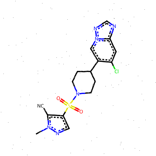 Cn1ncc(S(=O)(=O)N2CCC(c3cn4ncnc4cc3Cl)CC2)c1C#N